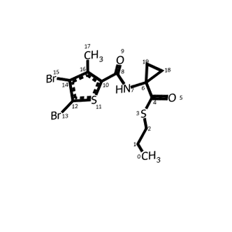 CCCSC(=O)C1(NC(=O)c2sc(Br)c(Br)c2C)CC1